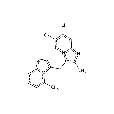 Cc1nc2cc(Cl)c(Cl)cn2c1Cc1csc2cccc(C)c12